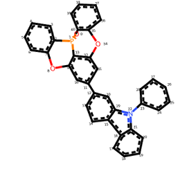 O=P12c3ccccc3Oc3cc(-c4ccc5c6ccccc6n(-c6ccccc6)c5c4)cc(c31)Oc1ccccc12